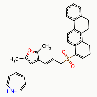 C1=CC=CNC=C1.Cc1cc(C=CCS(=O)(=O)C2=CCCc3c2ccc2c3CCc3ccccc3-2)c(C)o1